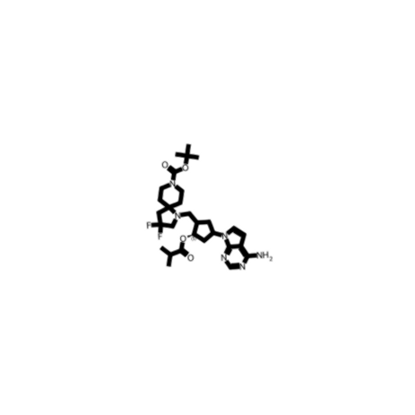 CC(C)C(=O)O[C@H]1CC(n2ccc3c(N)ncnc32)CC1CN1CC(F)(F)CC12CCN(C(=O)OC(C)(C)C)CC2